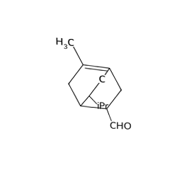 CC1=C2CC(C=O)C(C1)C(C(C)C)C2